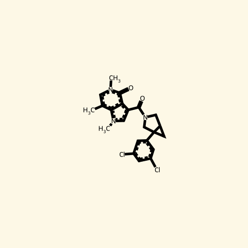 Cc1cn(C)c(=O)c2c(C(=O)N3CC4CC4(c4cc(Cl)cc(Cl)c4)C3)cn(C)c12